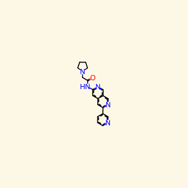 O=C(CN1CCCC1)Nc1cc2cc(-c3cccnc3)ncc2cn1